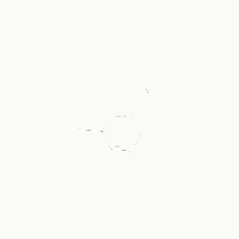 Clc1cc(Cl)cc(Br)c1.[MgH2]